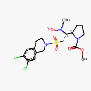 CC(C)(C)OC(=O)N1CCC[C@@H]1[C@H](CS(=O)(=O)N1CCc2cc(Cl)c(Cl)cc2C1)N(O)C=O